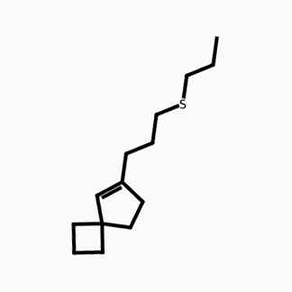 CCCSCCCC1=CC2(CCC2)CC1